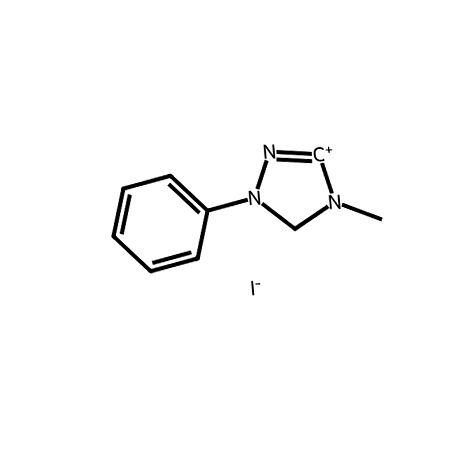 CN1[C+]=NN(c2ccccc2)C1.[I-]